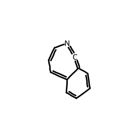 C1=NC=CC=c2ccccc2=1